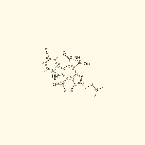 CN(C)CCn1cc(C2=C(c3c[nH]c4ccc(Cl)cc34)C(=O)NC2=O)c2cc(Cl)ccc21